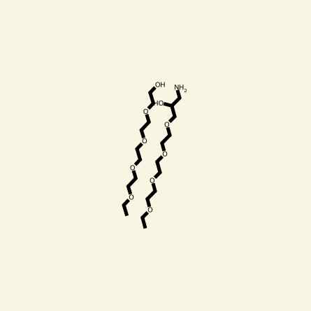 CCOCCOCCOCCOCC(O)CN.CCOCCOCCOCCOCCO